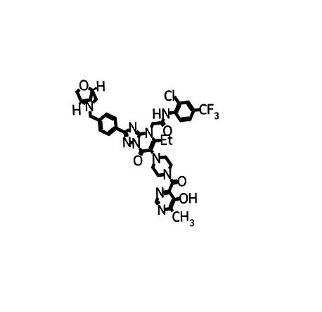 CCc1c(N2CCN(C(=O)c3ncnc(C)c3O)CC2)c(=O)n2nc(-c3ccc(CN4C[C@@H]5C[C@H]4CO5)cc3)nc2n1CC(=O)Nc1ccc(C(F)(F)F)cc1Cl